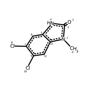 Cn1c(=O)[nH]c2cc(Cl)c(Cl)cc21